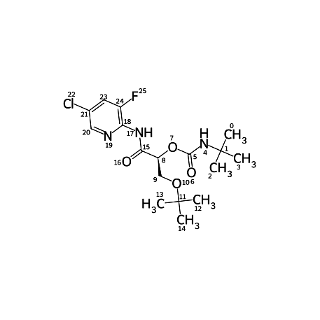 CC(C)(C)NC(=O)O[C@@H](COC(C)(C)C)C(=O)Nc1ncc(Cl)cc1F